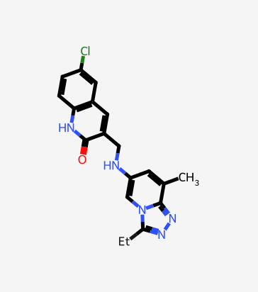 CCc1nnc2c(C)cc(NCc3cc4cc(Cl)ccc4[nH]c3=O)cn12